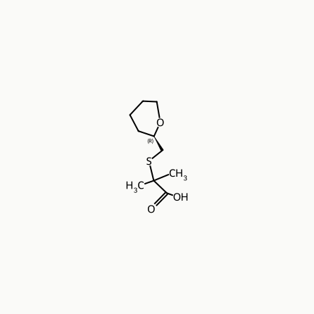 CC(C)(SC[C@H]1CCCCO1)C(=O)O